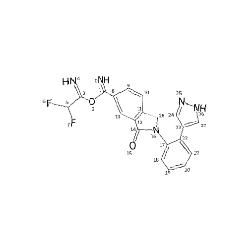 N=C(OC(=N)C(F)F)c1ccc2c(c1)C(=O)N(c1ccccc1-c1cn[nH]c1)C2